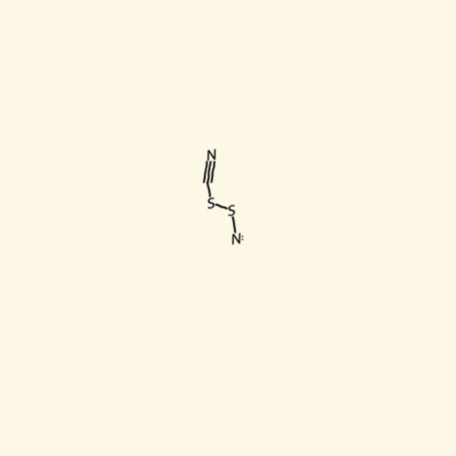 [N]SSC#N